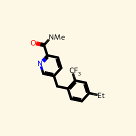 CCc1ccc(Cc2ccc(C(=O)NC)nc2)c(C(F)(F)F)c1